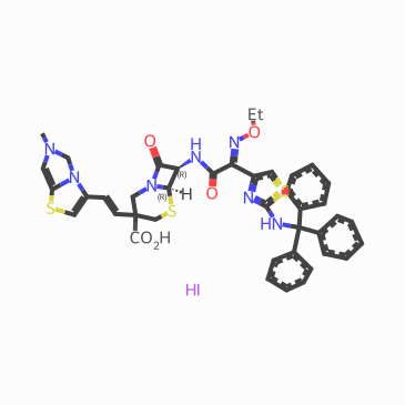 CCON=C(C(=O)N[C@@H]1C(=O)N2CC(C=CC3=CSC4=CN(C)CN34)(C(=O)O)CS[C@H]12)c1csc(NC(c2ccccc2)(c2ccccc2)c2ccccc2)n1.I